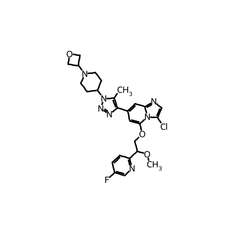 COC(COc1cc(-c2nnn(C3CCN(C4COC4)CC3)c2C)cc2ncc(Cl)n12)c1ccc(F)cn1